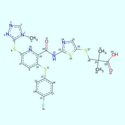 Cn1cnnc1Sc1ccc(Sc2ccc(F)cc2)c(C(=O)Nc2ncc(SCC(C)(C)C(=O)O)s2)n1